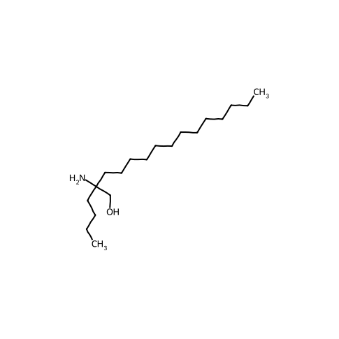 CCCCCCCCCCCCCC(N)(CO)CCCC